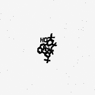 CC(C)(C)c1cc(-c2ccc3cccc(-c4cc(C(C)(C)C)cc(C(C)(C)C)c4O)c3n2)c(O)c(C(C)(C)C)c1